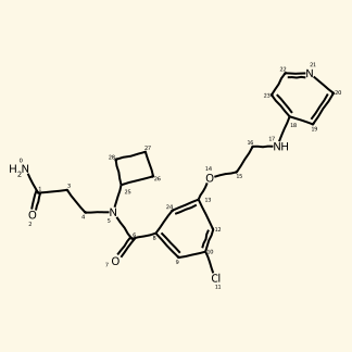 NC(=O)CCN(C(=O)c1cc(Cl)cc(OCCNc2ccncc2)c1)C1CCC1